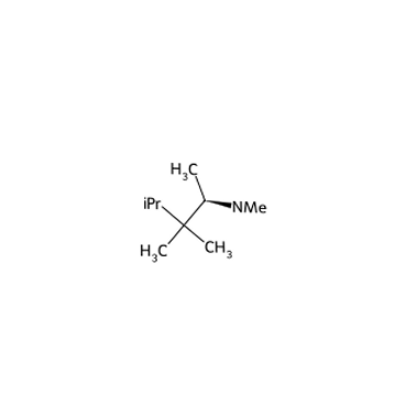 CN[C@H](C)C(C)(C)C(C)C